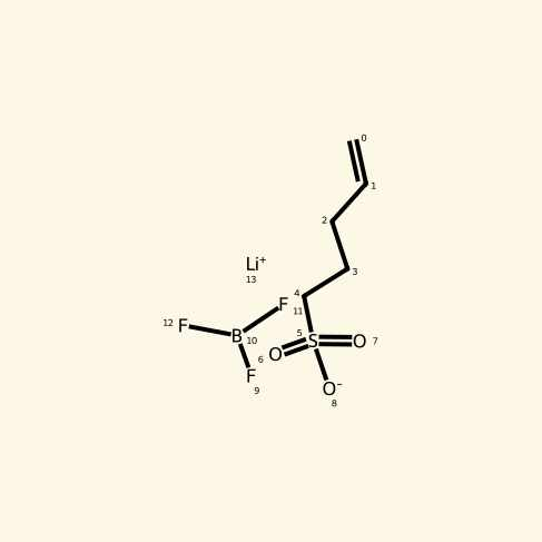 C=CCCCS(=O)(=O)[O-].FB(F)F.[Li+]